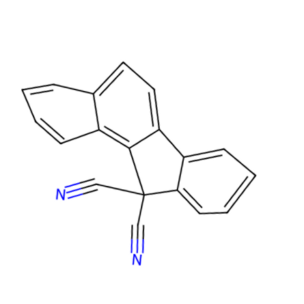 N#CC1(C#N)c2ccccc2-c2ccc3ccccc3c21